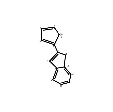 [CH]1C(c2ccc[nH]2)=Cc2ccccc21